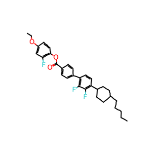 CCCCCC1CCC(c2ccc(-c3ccc(C(=O)Oc4ccc(OCC)cc4F)cc3)c(F)c2F)CC1